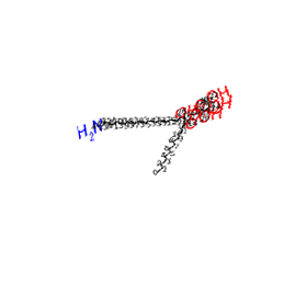 CCCCCCCCCCCCCC(=O)[C@@H](CO[C@H]1OC[C@H](O)[C@H](O)[C@H]1O)[C@@H](O)CCCCCCCCCCCCCCCN